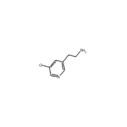 NCCc1cn[c]c(Cl)c1